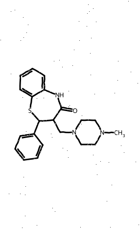 CN1CCN(CC2C(=O)Nc3ccccc3SC2c2ccccc2)CC1